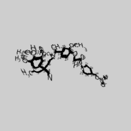 CCCC(C#N)(CCCN(C)C(C)c1ccc(OCC(=O)NN2CCC(CO[N+](=O)[O-])CC2)c(OC)c1)c1cc(OC)c(OC)c(OC)c1